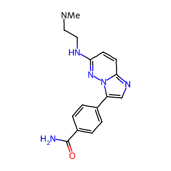 CNCCNc1ccc2ncc(-c3ccc(C(N)=O)cc3)n2n1